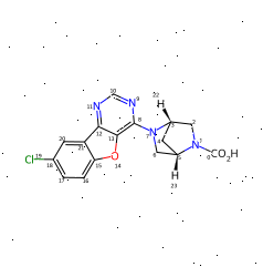 O=C(O)N1C[C@@H]2C[C@H]1CN2c1ncnc2c1oc1ccc(Cl)cc12